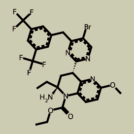 CCOC(=O)N1c2ccc(OC)nc2[C@@H](c2ncc(Br)c(Cc3cc(C(F)(F)F)cc(C(F)(F)F)c3)n2)C[C@@]1(N)CC